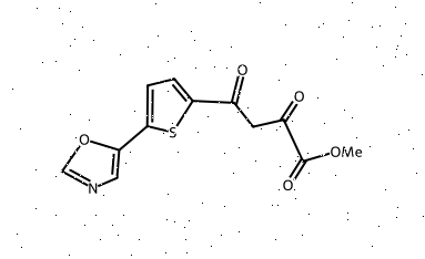 COC(=O)C(=O)CC(=O)c1ccc(-c2cnco2)s1